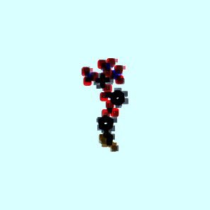 O=C(Oc1ccc(-c2cc(=S)ss2)cc1)Oc1ccccc1C(=O)OCC(CO[N+](=O)[O-])(CO[N+](=O)[O-])CO[N+](=O)[O-]